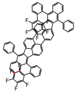 Fc1c(F)c(F)c(-c2ccccc2-c2c3c(c(-c4ccccc4)c4ccccc24)-c2ccc4c5ccc6c7c(ccc(c8ccc-3c2c48)c75)-c2c-6c(-c3ccccc3-c3c(F)c(F)c(F)c(F)c3F)c3ccccc3c2-c2ccccc2)c(F)c1F